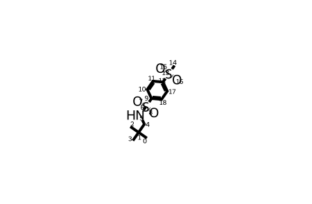 CC(C)(C)CNS(=O)(=O)c1ccc(S(C)(=O)=O)cc1